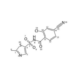 Cc1ncc(S(=O)(=O)NC(=O)c2ccc(C#N)cc2Cl)s1